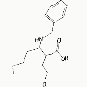 CCCCC(NCc1ccccc1)C(CCOC)C(=O)O